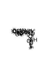 CC(=O)OC(C1CCC(NC(=O)OCC2CC2)CC1)N1Cc2c(cnc3c2ccn3S(=O)(=O)c2ccccc2)N1